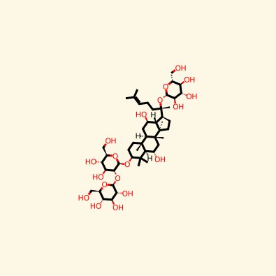 CC(C)=CCC[C@](C)(O[C@@H]1O[C@H](CO)[C@@H](O)[C@H](O)[C@H]1O)[C@H]1CC[C@]2(C)[C@@H]1[C@H](O)C[C@@H]1[C@@]3(C)CC[C@H](O[C@@H]4O[C@H](CO)[C@@H](O)[C@H](O)[C@H]4O[C@@H]4O[C@H](CO)[C@@H](O)[C@H](O)[C@H]4O)C(C)(C)[C@@H]3[C@@H](O)C[C@]12C